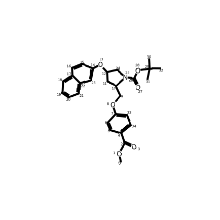 COC(=O)c1ccc(OCC2CC(Oc3ccc4ccccc4c3)CN2C(=O)OC(C)(C)C)cc1